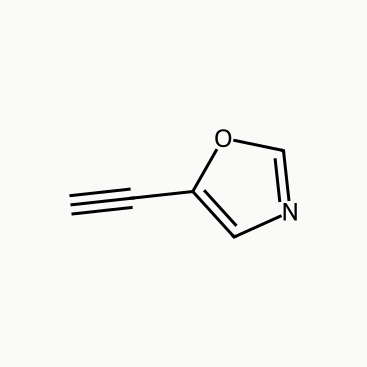 C#Cc1cnco1